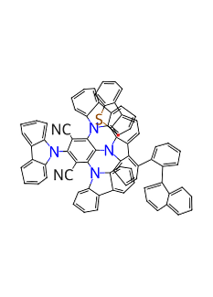 N#Cc1c(-n2c3ccccc3c3ccccc32)c(C#N)c(-n2c3ccccc3c3ccccc32)c(-n2c3cccc(-c4ccccc4-c4cccc5ccccc45)c3c3ccc4c5ccccc5sc4c32)c1-n1c2ccccc2c2ccccc21